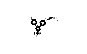 NCCOc1ccc(-c2cc(C(F)(F)F)nn2-c2ccc(Cl)cc2)cc1